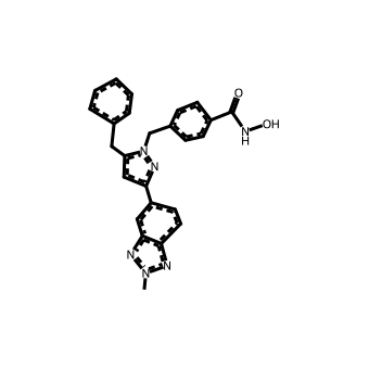 Cn1nc2ccc(-c3cc(Cc4ccccc4)n(Cc4ccc(C(=O)NO)cc4)n3)cc2n1